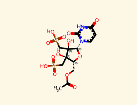 CC(=O)OC[C@H]1O[C@@H](n2ccc(=O)[nH]c2=O)[C@@](O)(CS(=O)(=O)O)[C@@]1(O)CS(=O)(=O)O